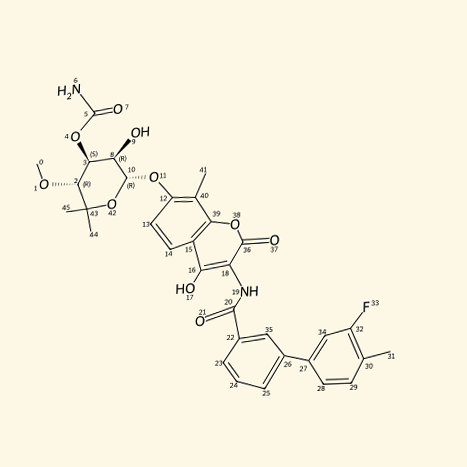 CO[C@@H]1[C@@H](OC(N)=O)[C@@H](O)[C@H](Oc2ccc3c(O)c(NC(=O)c4cccc(-c5ccc(C)c(F)c5)c4)c(=O)oc3c2C)OC1(C)C